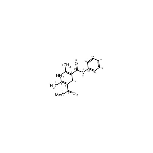 COC(=O)C1=C(C)NC(C)=C(C(=O)Nc2ccccc2)C1